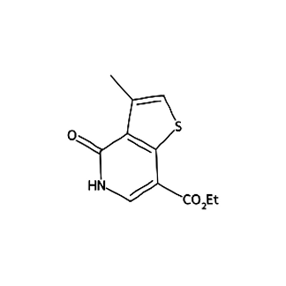 CCOC(=O)c1c[nH]c(=O)c2c(C)csc12